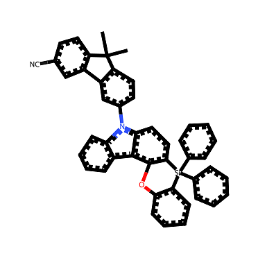 CC1(C)c2ccc(C#N)cc2-c2cc(-n3c4ccccc4c4c5c(ccc43)[Si](c3ccccc3)(c3ccccc3)c3ccccc3O5)ccc21